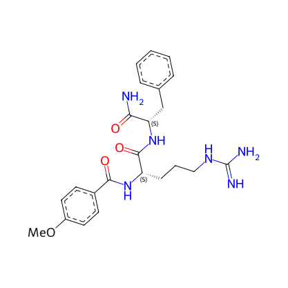 COc1ccc(C(=O)N[C@@H](CCCNC(=N)N)C(=O)N[C@@H](Cc2ccccc2)C(N)=O)cc1